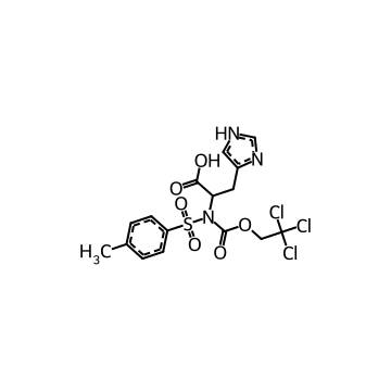 Cc1ccc(S(=O)(=O)N(C(=O)OCC(Cl)(Cl)Cl)C(Cc2c[nH]cn2)C(=O)O)cc1